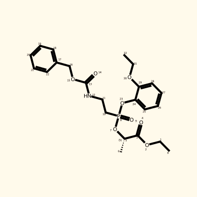 CCOC(=O)[C@H](C)OP(=O)(CCNC(=O)OCc1ccccc1)Oc1ccccc1OCC